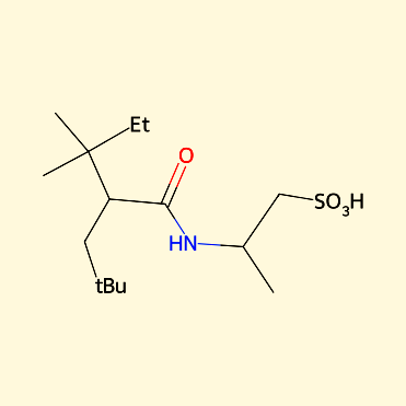 CCC(C)(C)C(CC(C)(C)C)C(=O)NC(C)CS(=O)(=O)O